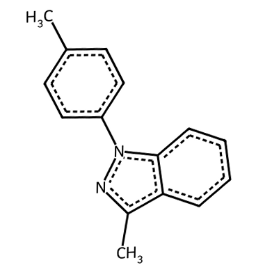 Cc1ccc(-n2nc(C)c3ccccc32)cc1